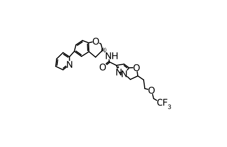 O=C(N[C@H]1COc2ccc(-c3ccccn3)cc2C1)c1cc2n(n1)CC(CCOCC(F)(F)F)O2